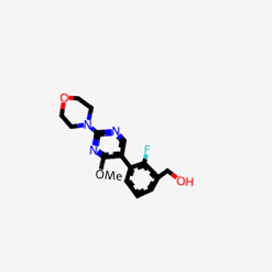 COc1nc(N2CCOCC2)ncc1-c1cccc(CO)c1F